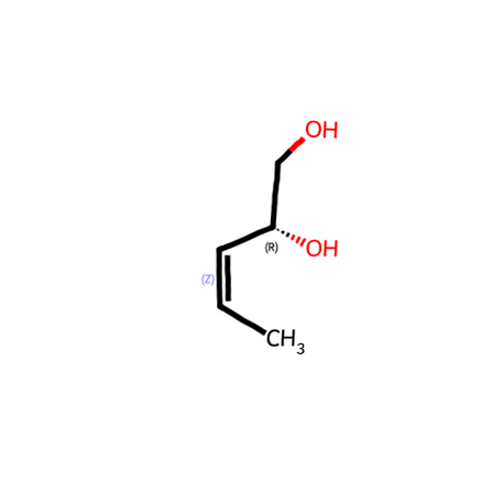 C/C=C\[C@@H](O)CO